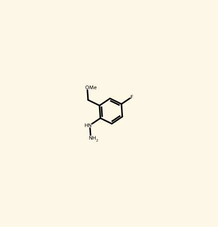 COCc1cc(F)ccc1NN